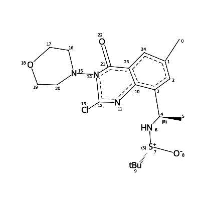 Cc1cc([C@@H](C)N[S@+]([O-])C(C)(C)C)c2nc(Cl)n(N3CCOCC3)c(=O)c2c1